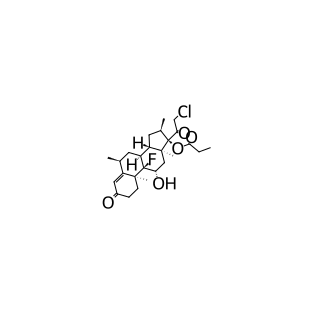 CCC(=O)O[C@]1(C(=O)CCl)[C@H](C)C[C@H]2[C@@H]3C[C@H](C)C4=CC(=O)CC[C@]4(C)[C@@]3(F)[C@@H](O)C[C@@]21C